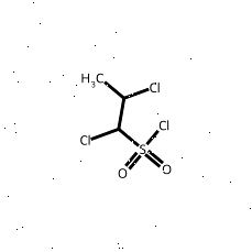 CC(Cl)C(Cl)S(=O)(=O)Cl